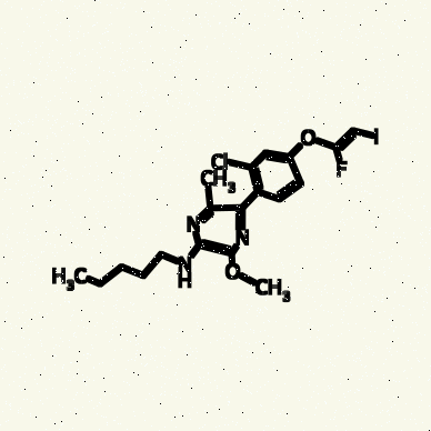 CCCCCNc1nc(C)c(-c2ccc(O/C(F)=C/I)cc2Cl)nc1OC